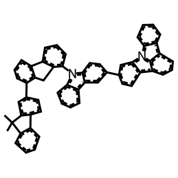 CC1(C)c2ccccc2-c2ccc(-c3cccc4c3Cc3c-4cccc3-n3c4ccccc4c4cc(-c5ccc6c7cccc8c9ccccc9n(c6c5)c87)ccc43)cc21